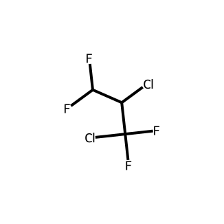 FC(F)C(Cl)C(F)(F)Cl